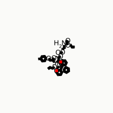 C=CCOC(=O)O[C@H](C)[C@H]1C(=O)N(C(C(=O)OCC=C)=P(c2ccccc2)(c2ccccc2)c2ccccc2)[C@@H]1SC(=O)COc1ccc(C)cc1.C=CCOC(N)=O